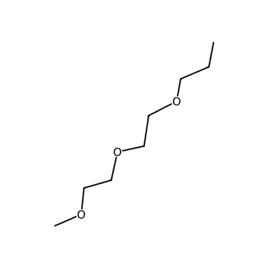 CCCOCCOCCOC